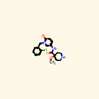 COC1(C(=O)Nc2ccc(=O)n(Cc3ccccc3Cl)c2)CCNCC1